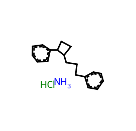 Cl.N.c1ccc(CCCC2CCC2c2ccccc2)cc1